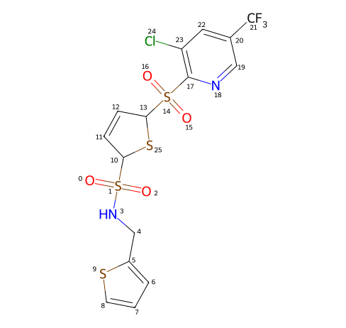 O=S(=O)(NCc1cccs1)C1C=CC(S(=O)(=O)c2ncc(C(F)(F)F)cc2Cl)S1